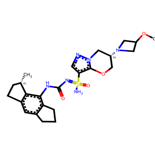 COC1CN([C@@H]2COc3c(S(N)(=O)=NC(=O)Nc4c5c(cc6c4[C@@H](C)CC6)CCC5)cnn3C2)C1